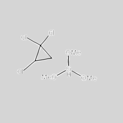 CO[SiH](OC)OC.ClC1CC1(Cl)Cl